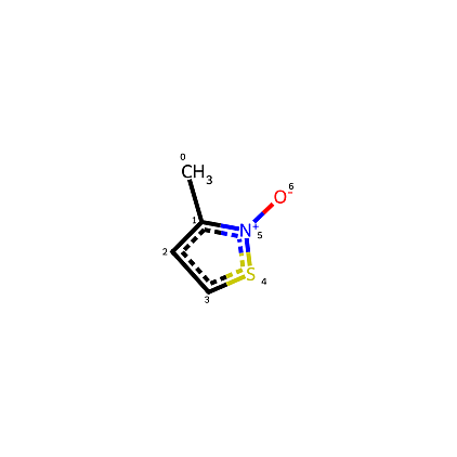 Cc1ccs[n+]1[O-]